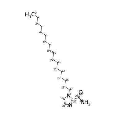 CCCCCCCCC=CCCCCCCCCn1ccnc1C(N)=O